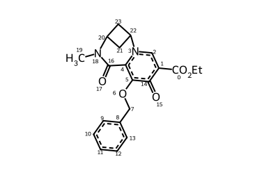 CCOC(=O)c1cn2c(c(OCc3ccccc3)c1=O)C(=O)N(C)C1CC2C1